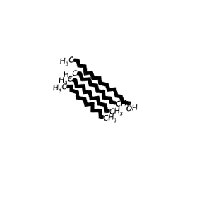 CCCCCCCCCCCC.CCCCCCCCCCCC.CCCCCCCCCCCC.CCCCCCCCCCCCCCCCO